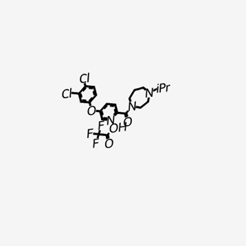 CC(C)N1CCCN(C(=O)c2ccc(Oc3ccc(Cl)c(Cl)c3)cn2)CC1.O=C(O)C(F)(F)F